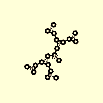 c1ccc(-c2nc(-c3ccc(-n4c5ccc(-c6ccc7c(c6)c6ccccc6n7-c6ccccc6)cc5c5cc(-c6ccc7c(c6)c6ccccc6n7-c6ccccc6)ccc54)cc3)cc(-c3cccc(-n4c5ccc(-c6ccc7c(c6)c6ccccc6n7-c6ccccc6)cc5c5cc(-c6ccc7c(c6)c6ccccc6n7-c6ccccc6)ccc54)c3)n2)cc1